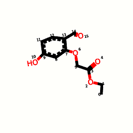 CCOC(=O)COc1cc(O)ccc1C=O